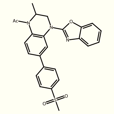 CC(=O)N1c2ccc(-c3ccc(S(C)(=O)=O)cc3)cc2N(c2nc3ccccc3o2)CC1C